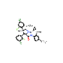 COc1cc(C(=O)O)ccc1N1C(=O)C2=C(c3cccc(Cl)c3F)[C@@](C#N)(c3ccc(Cl)cc3F)[C@H](CC(C)(C)C)N2[C@@H]1C1CC1